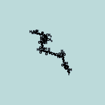 CC(C)(CNC(=O)CCC[S+]([O-])NN)CC(C)(C)CC(=O)NC(CCC(=O)NC(CCC(=O)NCCOCCOCC(=O)NC(CCCCNC(=O)c1ccc(NCCI)cc1)C(N)=O)C(=O)O)C(=O)O